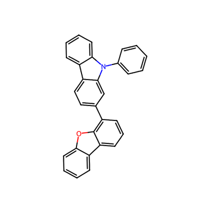 c1ccc(-n2c3ccccc3c3ccc(-c4cccc5c4oc4ccccc45)cc32)cc1